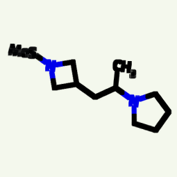 CSN1CC(CC(C)N2CCCC2)C1